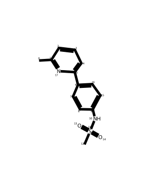 Cc1cccc(-c2ccc(NS(C)(=O)=O)cc2)n1